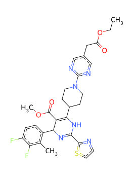 CCOC(=O)Cc1cnc(N2CCC(C3=C(C(=O)OC)C(c4ccc(F)c(F)c4C)N=C(c4nccs4)N3)CC2)nc1